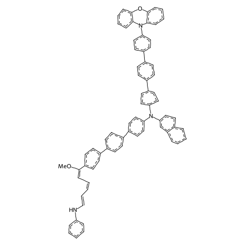 CO/C(=C/C=C\C=C\Nc1ccccc1)c1ccc(-c2ccc(-c3ccc(N(c4ccc(-c5ccc(-c6ccc(N7c8ccccc8Oc8ccccc87)cc6)cc5)cc4)c4ccc5ccccc5c4)cc3)cc2)cc1